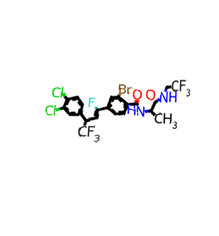 CC(NC(=O)c1ccc(/C(F)=C/C(c2ccc(Cl)c(Cl)c2)C(F)(F)F)cc1Br)C(=O)NCC(F)(F)F